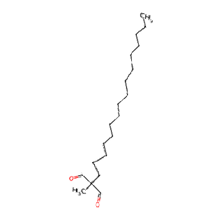 CCCCCCCCCCCCCCCCC(C)([C]=O)[C]=O